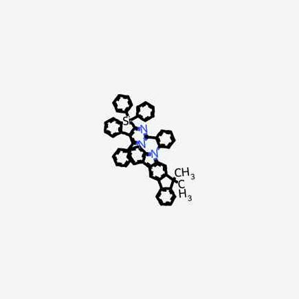 CC1(C)c2ccccc2-c2cc3c4ccccc4n(-c4ccccc4-c4nc(-c5ccccc5)c5c(n4)[Si](c4ccccc4)(c4ccccc4)c4ccccc4-5)c3cc21